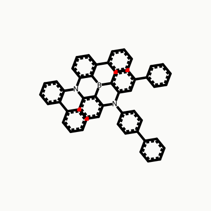 c1ccc(-c2ccc(N3c4cc(-c5ccccc5)ccc4B4c5c(-c6ccccc6)cccc5N(c5ccccc5-c5ccccc5)c5cccc3c54)cc2)cc1